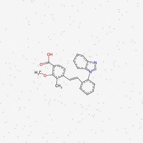 COc1c(C(=O)O)ccc(/C=C/c2ccccc2-n2cnc3ccccc32)c1C